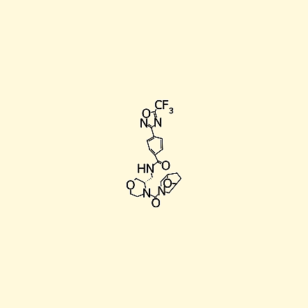 O=C(NC[C@H]1COCCN1C(=O)N1CC2CCC(C1)O2)c1ccc(-c2noc(C(F)(F)F)n2)cc1